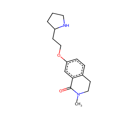 CN1CCc2ccc(OCCC3CCCN3)cc2C1=O